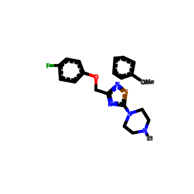 CCN1CCN(c2nc(COc3ccc(F)cc3)ns2)CC1.COc1ccccc1